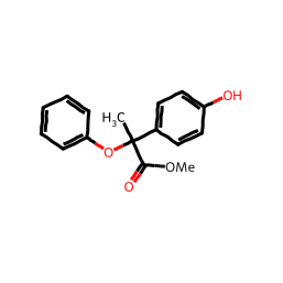 COC(=O)C(C)(Oc1ccccc1)c1ccc(O)cc1